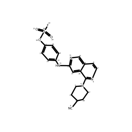 N#CC1CCN(c2nccc3cnc(Nc4ccc(OS(=O)(=O)F)cc4)cc23)CC1